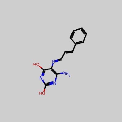 Nc1nc(O)nc(O)c1N=C/C=C/c1ccccc1